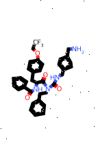 NCc1ccc(CNC(=O)N(CCc2ccccc2)C(=O)C(Cc2ccc(OCC(F)(F)F)cc2)NC(=O)c2ccccc2)cc1